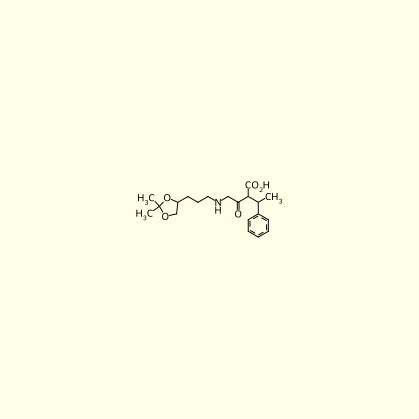 CC(c1ccccc1)C(C(=O)O)C(=O)CNCCCC1COC(C)(C)O1